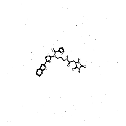 O=C(CC1NC(=O)NC1=O)NCCCN(C(=O)c1cccs1)c1nc(-c2cc3ccccc3o2)cs1